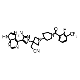 N#CCC1(n2cc(-c3ncnc4[nH]ccc34)c(N)n2)CN(C2CCN(C(=O)c3cccc(C(F)(F)F)c3F)CC2)C1